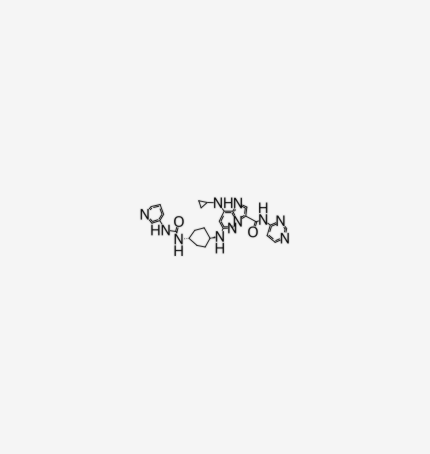 O=C(Nc1cccnc1)N[C@H]1CC[C@H](Nc2cc(NC3CC3)c3ncc(C(=O)Nc4ccncn4)n3n2)CC1